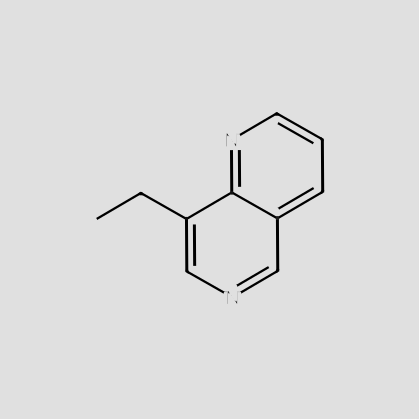 CCc1cncc2cccnc12